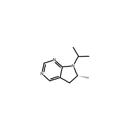 CC(C)N1c2ncncc2C[C@H]1C